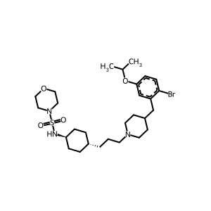 CC(C)Oc1ccc(Br)c(CC2CCN(CCC[C@H]3CC[C@H](NS(=O)(=O)N4CCOCC4)CC3)CC2)c1